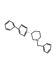 c1ccc(CN2CCC[C@@H](c3ccc(-c4ccccc4)cc3)C2)cc1